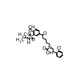 COc1ccc(C(=O)CCCCN(CCc2ccccc2Cl)C(=O)O)cc1S(=O)(=O)NC(C)C